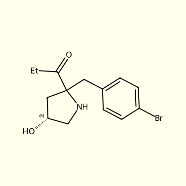 CCC(=O)C1(Cc2ccc(Br)cc2)C[C@@H](O)CN1